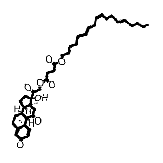 CCCCCCCC/C=C\CCCCCCCCOC(=O)CCC(=O)OCC(=O)[C@@]1(O)CC[C@H]2[C@@H]3CCC4=CC(=O)C=C[C@]4(C)[C@H]3C(=O)C[C@@]21C